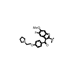 COc1cc2sc(N(C)C)c(C(=O)c3ccc(OCCN4CCCC4)cc3)c2cc1F